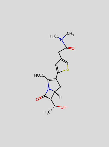 C[C@@H](O)[C@H]1C(=O)N2C(C(=O)O)=C(c3cc(CC(=O)N(C)C)cs3)C[C@H]12